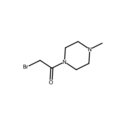 CN1CCN(C(=O)CBr)CC1